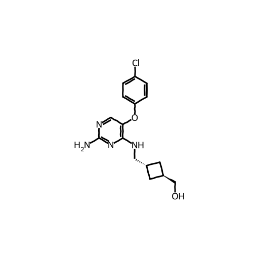 Nc1ncc(Oc2ccc(Cl)cc2)c(NC[C@H]2C[C@H](CO)C2)n1